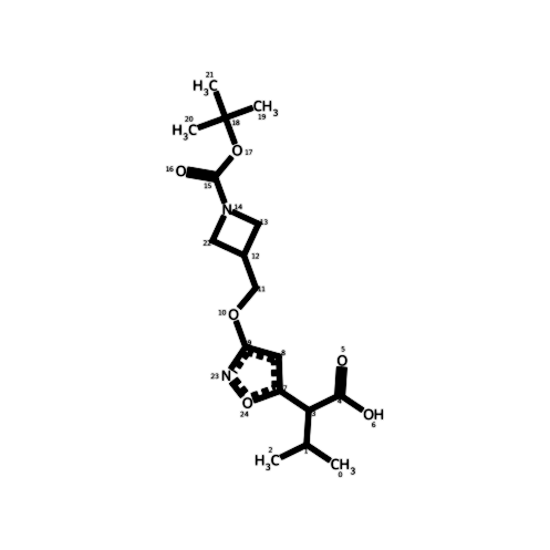 CC(C)C(C(=O)O)c1cc(OCC2CN(C(=O)OC(C)(C)C)C2)no1